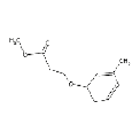 COC(=O)CCOC1C=C(C)C=CC1